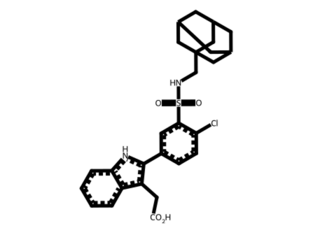 O=C(O)Cc1c(-c2ccc(Cl)c(S(=O)(=O)NCC34CC5CC(CC(C5)C3)C4)c2)[nH]c2ccccc12